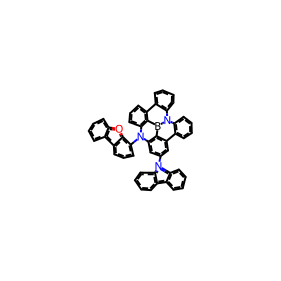 c1ccc2c(c1)-c1cccc3c1B1c4c(cc(-n5c6ccccc6c6ccccc65)cc4N3c3cccc4c3oc3ccccc34)-c3ccccc3N12